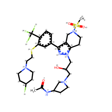 CC(=O)NC1CCN(CC(O)Cn2nc(-c3ccc(C(F)(F)F)c(SCCN4CCC(F)CC4)c3)c3c2CCN(S(C)(=O)=O)C3)C1